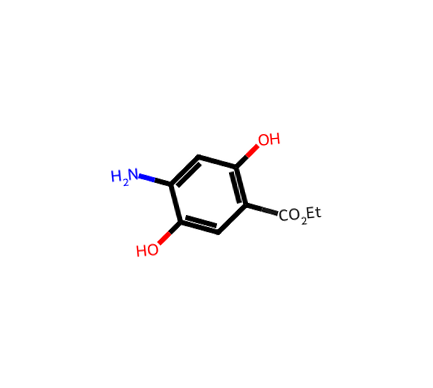 CCOC(=O)c1cc(O)c(N)cc1O